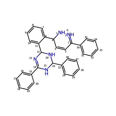 N=C(/C=C\C(N)c1ccccc1C1N=C(c2ccccc2)NC(c2ccccc2)N1)c1ccccc1